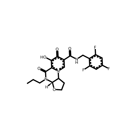 CCCN1C(=O)c2c(O)c(=O)c(C(=O)NCc3c(F)cc(F)cc3F)cn2C2CCO[C@@H]21